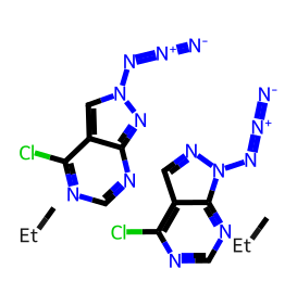 CCC.CCC.[N-]=[N+]=Nn1cc2c(Cl)ncnc2n1.[N-]=[N+]=Nn1ncc2c(Cl)ncnc21